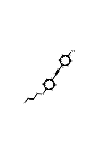 CCC=CCOc1ccc(C#Cc2ccc(CCC)cc2)cc1